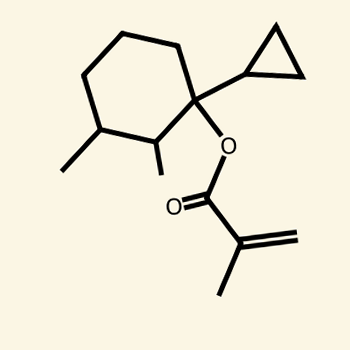 C=C(C)C(=O)OC1(C2CC2)CCCC(C)C1C